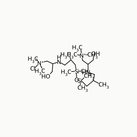 CC(CNC(CO)C[N+](C)(C)C)C[Si](C)(C)O[Si](C)(C)CC(C)CNC(CO)C[N+](C)(C)Cl